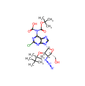 CC(C)(C)OC(=O)N(C(=O)O)c1nc(Cl)nc2c1ncn2[C@@H]1O[C@H](CO)[C@@H](N=[N+]=[N-])[C@H]1O[Si](C)(C)C(C)(C)C